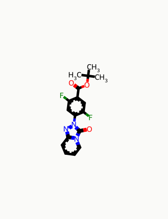 CC(C)(C)OC(=O)c1cc(F)c(-n2nc3ccccn3c2=O)cc1F